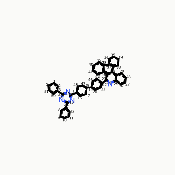 c1ccc(-c2nc(-c3ccccc3)nc(-c3ccc(-c4ccc(-c5nc6ccccc6c6c7ccccc7c7ccccc7c56)cc4)cc3)n2)cc1